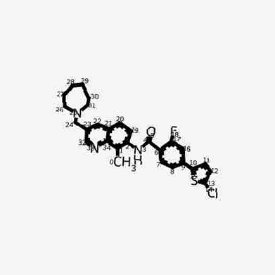 Cc1c(NC(=O)c2ccc(-c3ccc(Cl)s3)cc2F)ccc2cc(CN3CCCCCC3)cnc12